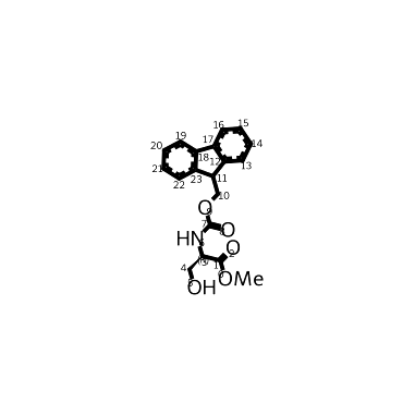 COC(=O)[C@@H](CO)NC(=O)OCC1c2ccccc2-c2ccccc21